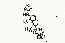 Cc1c(NC(=O)OC(C)(C)C)ccc2c1O[C@H](C(C)(C)O[SiH2]C(C)(C)C)CC2